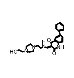 O=C1Nc2ccc(-c3ccccc3)cc2C(=O)C1=CNCCN1CCN(CCO)CC1